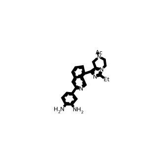 CCc1nc(-c2cccc3cc(-c4ccc(N)c(N)c4)ncc23)c2n1CCN(C(C)=O)C2